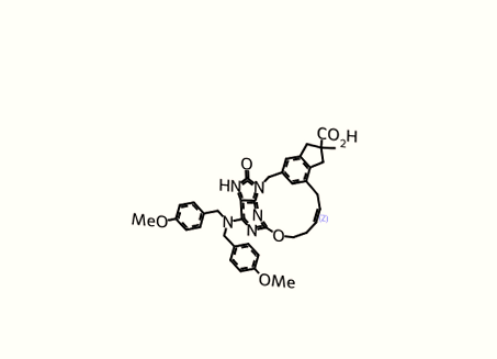 COc1ccc(CN(Cc2ccc(OC)cc2)c2nc3nc4c2[nH]c(=O)n4Cc2cc(c4c(c2)CC(C)(C(=O)O)C4)C/C=C\CCO3)cc1